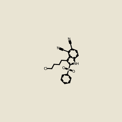 N#Cc1ccc2[nH]c(S(=O)(=O)c3ccccc3)c(CCCCCl)c2c1C#N